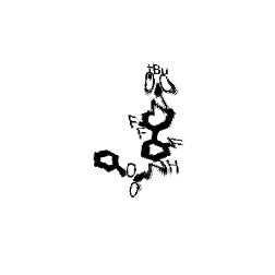 CC(C)(C)OC(=O)N1CC=C(c2ccc(NC(=O)OCc3ccccc3)cc2F)C(F)(F)C1